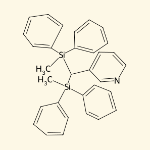 C[Si](c1ccccc1)(c1ccccc1)C(c1cccnc1)[Si](C)(c1ccccc1)c1ccccc1